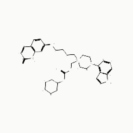 O=C(OC[N+]1(CCCCOc2ccc3ccc(=O)[nH]c3c2)CCN(c2cccc3sccc23)CC1)OC1CCCCC1